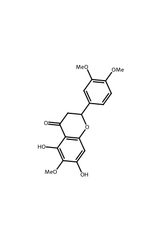 COc1ccc(C2CC(=O)c3c(cc(O)c(OC)c3O)O2)cc1OC